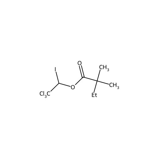 CCC(C)(C)C(=O)OC(I)C(Cl)(Cl)Cl